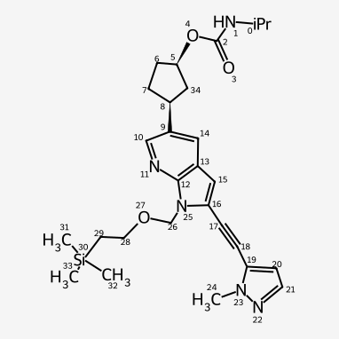 CC(C)NC(=O)O[C@@H]1CC[C@H](c2cnc3c(c2)cc(C#Cc2ccnn2C)n3COCC[Si](C)(C)C)C1